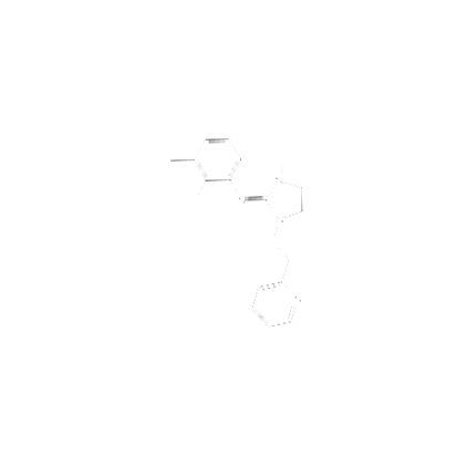 Cc1c(Cl)cccc1N=C1NCCN1OCc1ccccn1